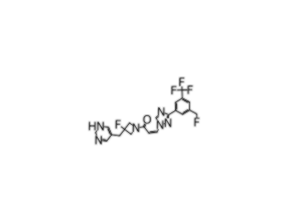 O=C(/C=C\n1cnc(-c2cc(CF)cc(C(F)(F)F)c2)n1)N1CC(F)(CC2=CNCN=C2)C1